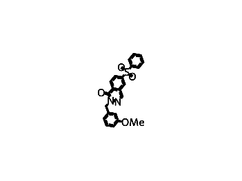 COc1cccc(Cn2ncc3cc(S(=O)(=O)c4ccccc4)ccc3c2=O)c1